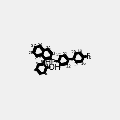 Oc1ccccc1-c1c(Pc2ccc(-c3ccc(F)cc3)cc2)ccc2ccccc12